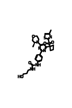 Cc1csc(S(=O)(=O)C2(c3cc(N4CCOC[C@@H]4C)nc(-c4ccc(NC(=O)NCCCO)cc4)n3)CCC2)n1